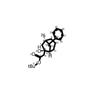 CC(C)(C)OC(=O)C[C@]1(O)C[C@H]2CCC[C@@H]1C=C2c1ccccc1